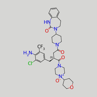 Nc1c(Cl)cc(C[C@@H](CC(=O)N2CCC(N3CCc4ccccc4NC3=O)CC2)C(=O)N2CC[N+]([O-])(C3CCOCC3)CC2)cc1C(F)(F)F